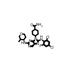 CC1COCC[C@H]1Nc1ncc2nc(Nc3c(F)cc(Cl)cc3Cl)n(C3CCC(C(N)=O)CC3)c2n1